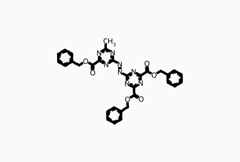 Cc1nc(N=Nc2nc(C(=O)OCc3ccccc3)nc(C(=O)OCc3ccccc3)n2)nc(C(=O)OCc2ccccc2)n1